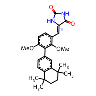 COc1ccc(/C=C2\NC(=O)NC2=O)c(OC)c1-c1ccc2c(c1)C(C)(C)CCC2(C)C